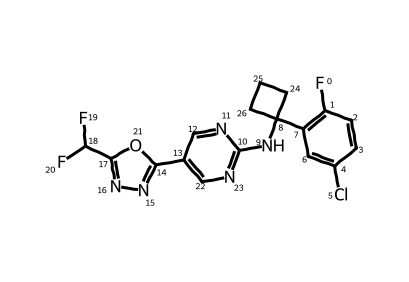 Fc1ccc(Cl)cc1C1(Nc2ncc(-c3nnc(C(F)F)o3)cn2)CCC1